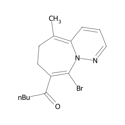 CCCCC(=O)C1=C(Br)N2N=CC=CC2=C(C)CC1